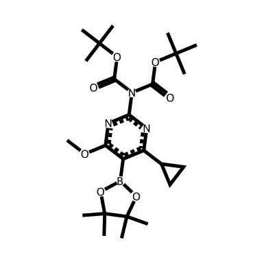 COc1nc(N(C(=O)OC(C)(C)C)C(=O)OC(C)(C)C)nc(C2CC2)c1B1OC(C)(C)C(C)(C)O1